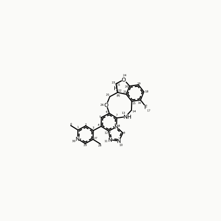 Cc1cc(-c2cc3c(n4cnnc24)NCc2c(F)ccc4c2[C@H](CO4)CO3)c(C)cn1